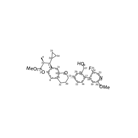 COC(=O)[C@@H](C)[C@H](c1ccc2c(c1)O[C@H](c1ccc(-c3cc(OC)ncc3F)c(CO)c1)CC2)C1CC1